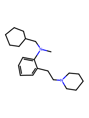 CN(CC1CCCCC1)c1ccccc1CCN1CCCCC1